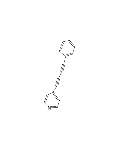 C(C#Cc1ccncc1)#Cc1ccccc1